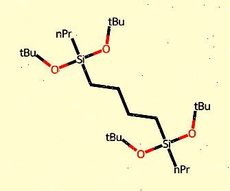 CCC[Si](CCCC[Si](CCC)(OC(C)(C)C)OC(C)(C)C)(OC(C)(C)C)OC(C)(C)C